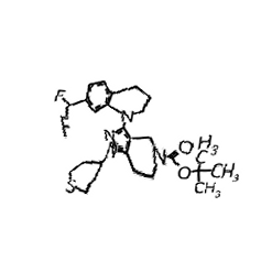 CC(C)(C)OC(=O)N1CCc2c(c(N3CCCc4ccc(C(F)F)cc43)nn2C2CCSCC2)C1